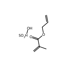 C=CCOC(=O)C(=C)C.O=S(=O)(O)O